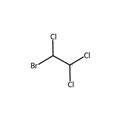 Cl[C](Cl)C(Cl)Br